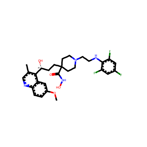 COc1ccc2ncc(C)c([C@H](O)CCC3(C(=O)NO)CCN(CCNc4c(F)cc(F)cc4F)CC3)c2c1